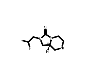 O=C1N(CC(F)F)C[C@H]2CNCCN12